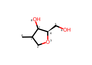 CC1CO[C@H](CO)C1O